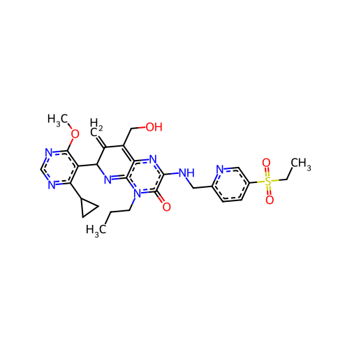 C=C1C(CO)=c2nc(NCc3ccc(S(=O)(=O)CC)cn3)c(=O)n(CCC)c2=NC1c1c(OC)ncnc1C1CC1